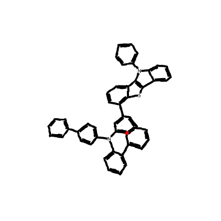 c1ccc(-c2ccc(N(c3cccc(-c4cccc5c4sc4c6ccccc6n(-c6ccccc6)c54)c3)c3ccccc3-c3ccccc3)cc2)cc1